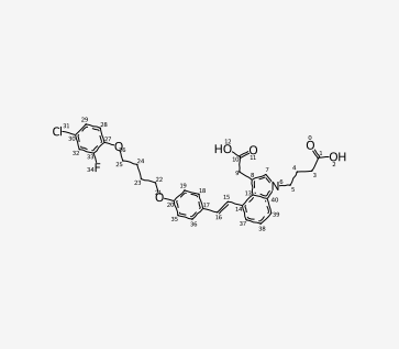 O=C(O)CCCn1cc(CC(=O)O)c2c(C=Cc3ccc(OCCCCOc4ccc(Cl)cc4F)cc3)cccc21